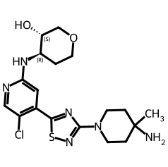 CC1(N)CCN(c2nsc(-c3cc(N[C@@H]4CCOC[C@H]4O)ncc3Cl)n2)CC1